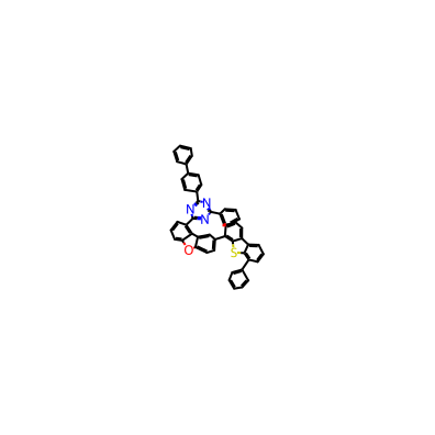 c1ccc(-c2ccc(-c3nc(-c4ccccc4)nc(-c4cccc5oc6ccc(-c7cccc8c7sc7c(-c9ccccc9)cccc78)cc6c45)n3)cc2)cc1